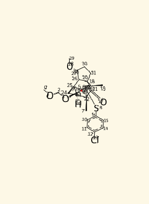 COCO[C@@H]1C[C@@](C)(Sc2ccc(Cl)cc2)C(=O)[C@H](C)C23CC[C@H]4C[C@]41C2[C@H](OC)CC3